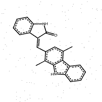 Cc1c(C=C2C(=O)Nc3ccccc32)cc(C)c2c1[nH]c1ccccc12